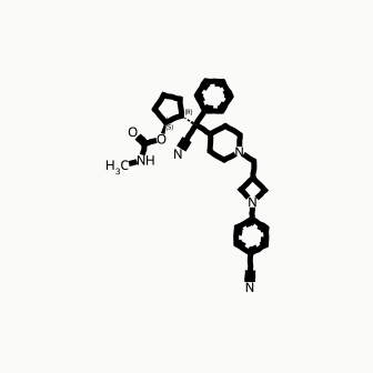 CNC(=O)O[C@H]1CCC[C@@H]1C(C#N)(c1ccccc1)C1CCN(CC2CN(c3ccc(C#N)cc3)C2)CC1